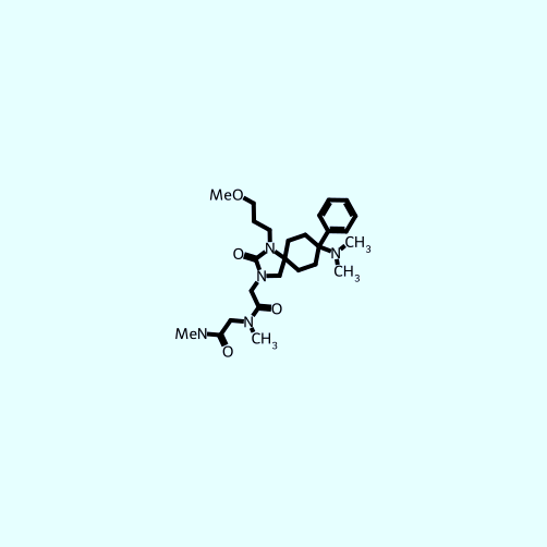 CNC(=O)CN(C)C(=O)CN1CC2(CCC(c3ccccc3)(N(C)C)CC2)N(CCCOC)C1=O